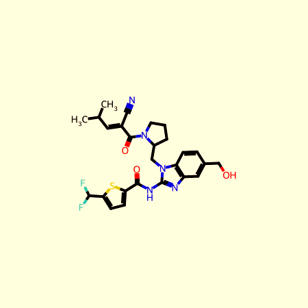 CC(C)C=C(C#N)C(=O)N1CCCC1Cn1c(NC(=O)c2ccc(C(F)F)s2)nc2cc(CO)ccc21